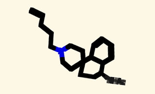 C=CCCCN1CCC2(CC[C@H](NC(C)=O)C3C=CC=CC32)CC1